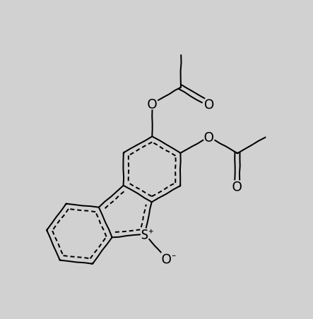 CC(=O)Oc1cc2c3ccccc3[s+]([O-])c2cc1OC(C)=O